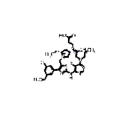 CCCN(C/C(C)=N/CCC(=O)O)c1ncnc(Nc2nc(-c3cc(Cl)cc(CC)c3)c(CN3CCC[C@H]3CC)s2)c1F